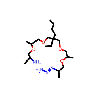 CCCCC(CC)(COCC(C)OCC(C)N)COCC(C)OCC(C)N=NN